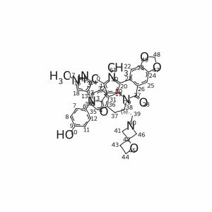 Cc1c(C(=O)N(c2ccc(O)cc2)c2cnn(C)c2)cc(-c2cc3c(cc2C(=O)N2Cc4ccccc4C[C@H]2CN2CC4(CCO4)C2)OCO3)n1C